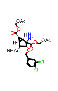 CC(=O)N[C@H]1[C@H]2[C@H](C(=O)OCOC(C)=O)[C@H]2[C@](N)(C(=O)OCOC(C)=O)[C@@H]1OCc1ccc(Cl)c(Cl)c1